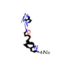 CNc1ccc2ccc(CCC3CCC(n4ccc5cncnc54)O3)cc2n1